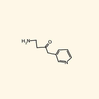 NCCC(=O)Cc1cccnc1